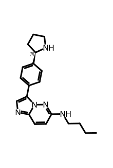 CCCCNc1ccc2ncc(-c3ccc([C@H]4CCCN4)cc3)n2n1